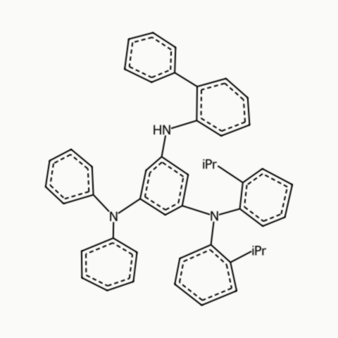 CC(C)c1ccccc1N(c1cc(Nc2ccccc2-c2ccccc2)cc(N(c2ccccc2)c2ccccc2)c1)c1ccccc1C(C)C